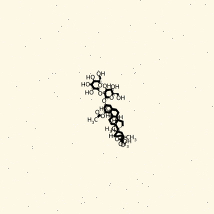 CC(=O)O[C@H]1C[C@H](O[C@@H]2O[C@H](CO)[C@@H](O)[C@H](O)[C@H]2O[C@@H]2O[C@H](CO)[C@@H](O)[C@H](O)[C@H]2O)CC2=CC[C@H]3[C@@H]4CC[C@H]([C@@H]5C[C@@]6(C)C(=O)O[C@@H]5C[C@@]6(C)O)[C@@]4(C)CC[C@@H]3[C@]21C